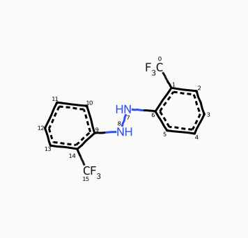 FC(F)(F)c1ccccc1NNc1ccccc1C(F)(F)F